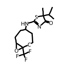 CC(C)C1(C)SC(NC2CCCC3(C(F)(F)F)OC3CC2)=NC1=O